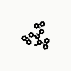 C=Cc1cc(-c2cc(-c3cccc(-n4c5ccccc5c5ccccc54)c3)nc(-c3cccc(-n4c5ccccc5c5ccccc54)c3)c2)cc(-n2c3ccccc3c3ccccc32)c1